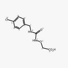 O=C(O)CONC(=O)NCc1ccc(Cl)cc1